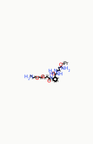 CC(C)O/C(N)=C/C=C(\N)NC(=O)c1ccccc1NC(=O)CCOCCOCCN